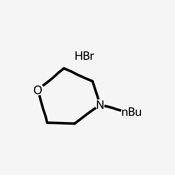 Br.CCCCN1CCOCC1